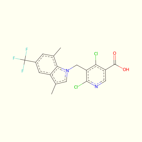 Cc1cn(Cc2c(Cl)ncc(C(=O)O)c2Cl)c2c(C)cc(C(F)(F)F)cc12